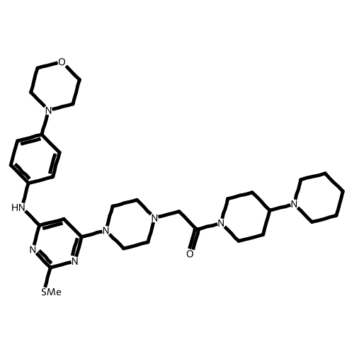 CSc1nc(Nc2ccc(N3CCOCC3)cc2)cc(N2CCN(CC(=O)N3CCC(N4CCCCC4)CC3)CC2)n1